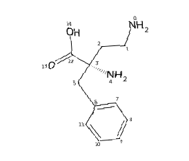 NCC[C@@](N)(Cc1ccccc1)C(=O)O